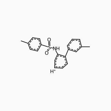 Cc1ccc(S(=O)(=O)Nc2ccccc2-c2cccc(C)c2)cc1.[H+]